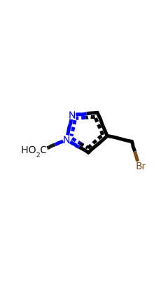 O=C(O)n1cc(CBr)cn1